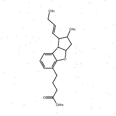 COC(=O)CCCc1cccc2c1OC1CC(OC(C)=O)C(/C=C/COC(C)=O)C21